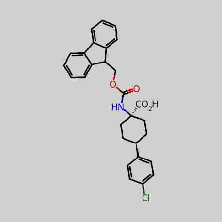 O=C(N[C@]1(C(=O)O)CC[C@H](c2ccc(Cl)cc2)CC1)OCC1c2ccccc2-c2ccccc21